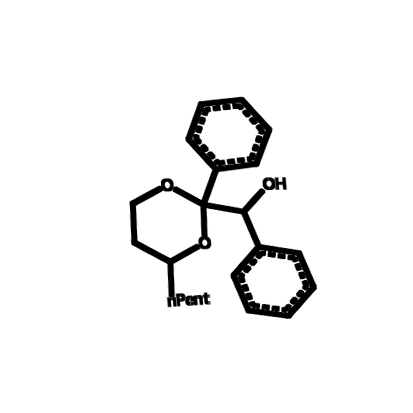 CCCCCC1CCOC(c2ccccc2)(C(O)c2ccccc2)O1